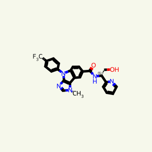 Cn1cnc2c1c1cc(C(=O)N[C@H](CO)c3ccccn3)ccc1n2-c1ccc(C(F)(F)F)cc1